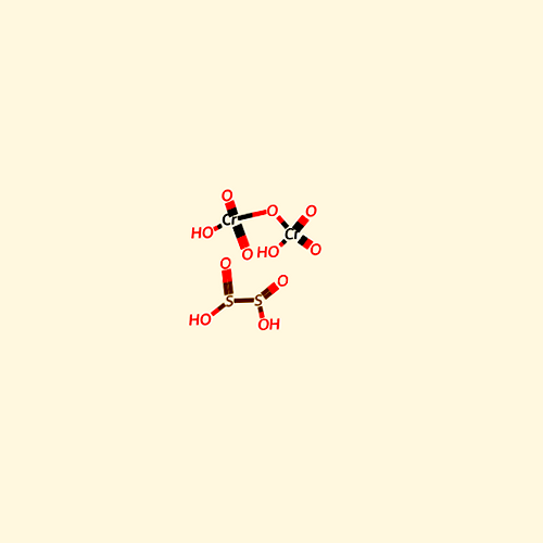 O=S(O)S(=O)O.[O]=[Cr](=[O])([OH])[O][Cr](=[O])(=[O])[OH]